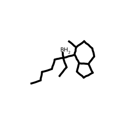 BC(CC)(CCCCC)C1C(C)CCCC2CCCC21